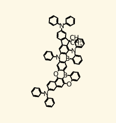 CC1(C)c2cc(N(c3ccccc3)c3ccccc3)ccc2-c2cc3c4c(c21)N(c1ccccc1)c1ccccc1B4c1cc2c(cc1N3c1ccccc1)Oc1c3c(cc4cc(N(c5ccccc5)c5ccccc5)ccc14)Oc1ccccc1B23